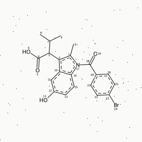 Cc1c(C(C(=O)O)C(C)C)c2cc(O)ccc2n1C(=O)c1ccc(Br)cc1